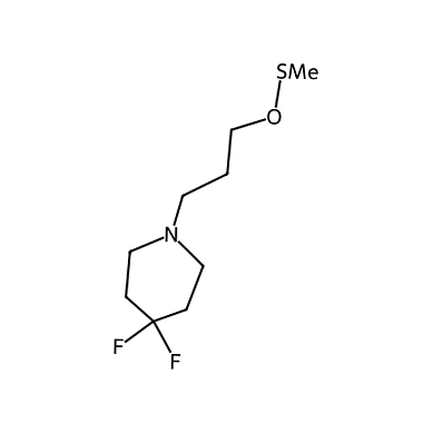 CSOCCCN1CCC(F)(F)CC1